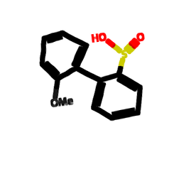 COc1ccccc1-c1ccccc1S(=O)O